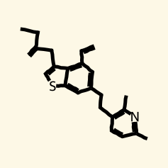 C=Cc1cc(CCc2ccc(C)nc2C)cc2scc(CC(=C)CC)c12